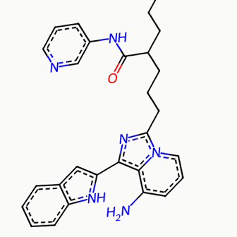 CCCC(CCCc1nc(-c2cc3ccccc3[nH]2)c2c(N)cccn12)C(=O)Nc1cccnc1